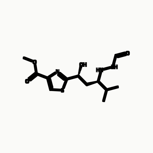 COC(=O)c1csc([C@H](O)C[C@@H](NBC=O)C(C)C)n1